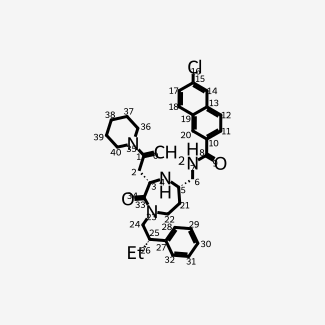 C=C(C[C@@H]1N[C@H](CNC(=O)c2ccc3cc(Cl)ccc3c2)CCN(C[C@@H](CC)c2ccccc2)C1=O)N1CCCCC1